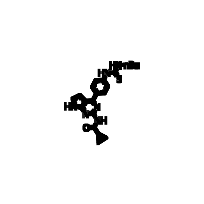 CCCCNC(=S)Nc1ccc(-c2nc(NC(=O)C3CC3)nc3[nH]ccc23)cc1